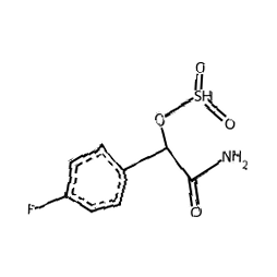 NC(=O)C(O[SH](=O)=O)c1ccc(F)cc1